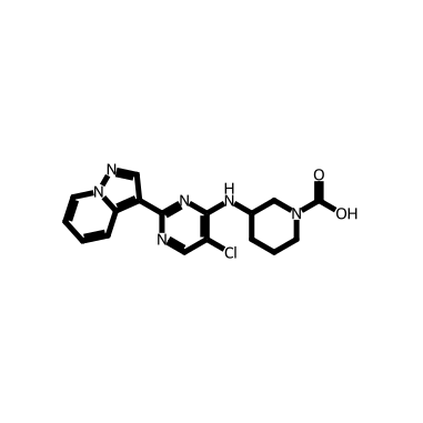 O=C(O)N1CCCC(Nc2nc(-c3cnn4ccccc34)ncc2Cl)C1